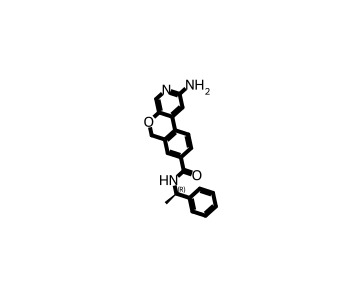 C[C@@H](NC(=O)c1ccc2c(c1)COc1cnc(N)cc1-2)c1ccccc1